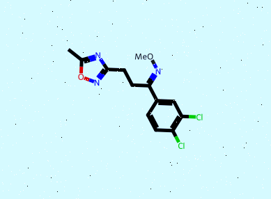 CO/N=C(\CCc1noc(C)n1)c1ccc(Cl)c(Cl)c1